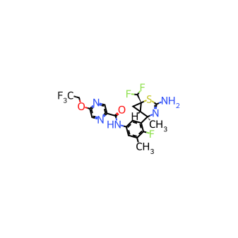 Cc1cc(NC(=O)c2cnc(OCC(F)(F)F)cn2)cc([C@]2(C)N=C(N)S[C@@]3(C(F)F)C[C@@H]23)c1F